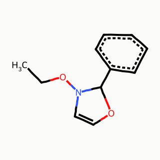 CCON1C=COC1c1ccccc1